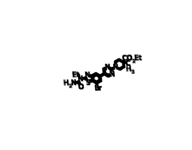 CCOC(=O)C1(C)CCN(c2ncc(-c3cc(Br)c4sc(N(CC)C(N)=O)nc4c3)cn2)CC1